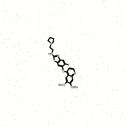 COc1cc2nccc(Oc3cc4sc(NCCN5CCCC5)nc4cc3F)c2cc1OC